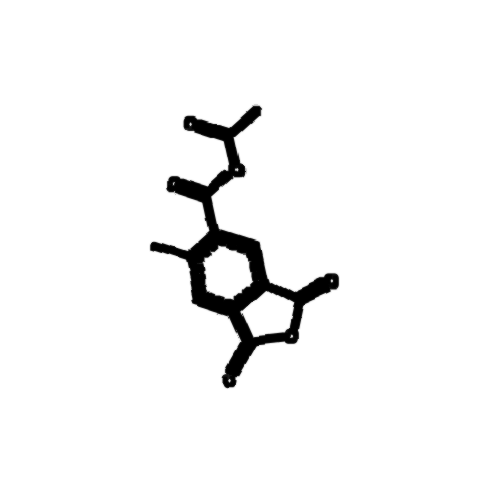 CC(=O)OC(=O)c1cc2c(cc1C)C(=O)OC2=O